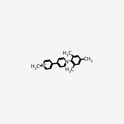 Cc1cc(C)c(-[n+]2ccc(-c3cc[n+](C)cc3)cc2)c(C)c1